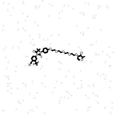 C=C/C(OCCOCCOCCOCCOc1ccc(N2C(=S)N(c3ccc(C#N)c(C(C)(F)F)c3)C(=O)C2(C)C)cc1)=C(/Cl)C(C)=O